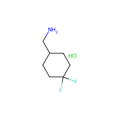 Cl.NCC1CCC(F)(F)CC1